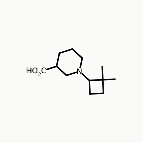 CC1(C)CCC1N1CCCC(C(=O)O)C1